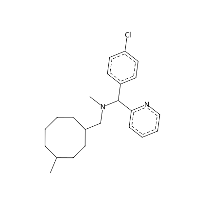 CC1CCCCC(CN(C)C(c2ccc(Cl)cc2)c2ccccn2)CC1